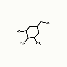 CC(C)CC1CC(C)C(C)C(O)C1